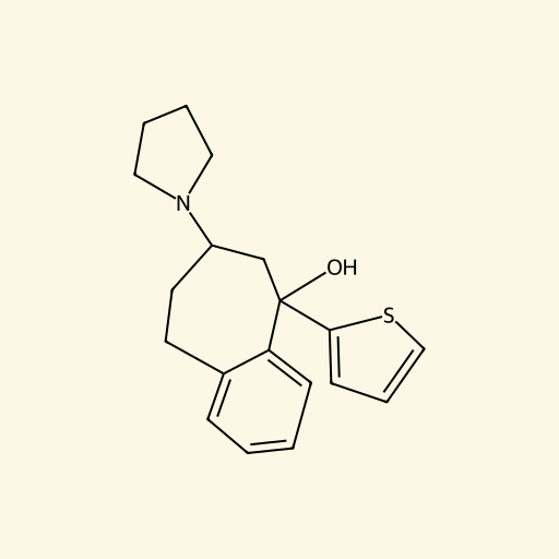 OC1(c2cccs2)CC(N2CCCC2)CCc2ccccc21